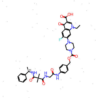 CCn1cc(C(=O)O)c(=O)c2cc(F)c(N3CCN(C(=O)OCc4ccc(NC(=O)CNC(=O)C(C)(C)C(=O)N[C@H](C)c5ccccc5)cc4)CC3)cc21